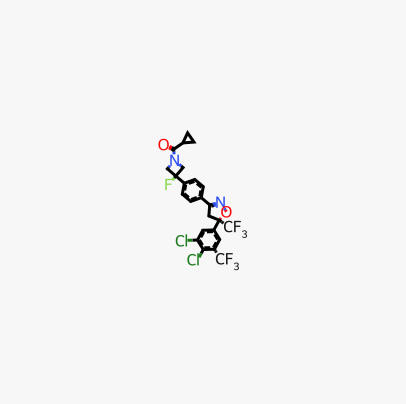 O=C(C1CC1)N1CC(F)(c2ccc(C3=NOC(c4cc(Cl)c(Cl)c(C(F)(F)F)c4)(C(F)(F)F)C3)cc2)C1